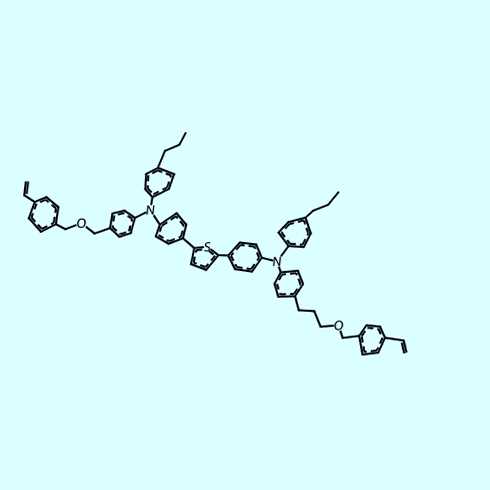 C=Cc1ccc(COCCCc2ccc(N(c3ccc(CCC)cc3)c3ccc(-c4ccc(-c5ccc(N(c6ccc(CCC)cc6)c6ccc(COCc7ccc(C=C)cc7)cc6)cc5)s4)cc3)cc2)cc1